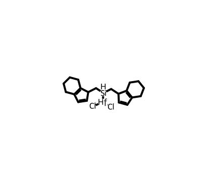 [Cl][Hf]([Cl])[SiH](CC1C=CC2=C1CCCC2)CC1C=CC2=C1CCCC2